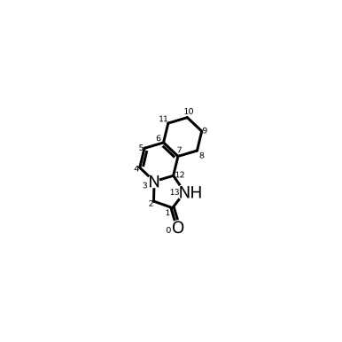 O=C1CN2C=CC3=C(CCCC3)C2N1